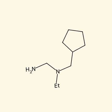 CCN(CN)CC1CCCC1